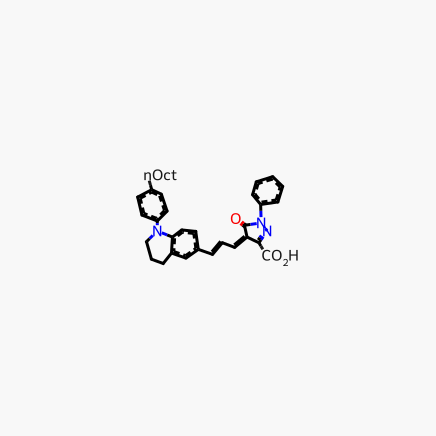 CCCCCCCCc1ccc(N2CCCc3cc(/C=C/C=C4\C(=O)N(c5ccccc5)N=C4C(=O)O)ccc32)cc1